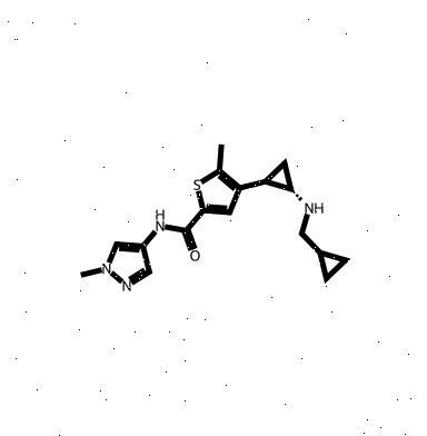 Cc1sc(C(=O)Nc2cnn(C)c2)cc1C1C[C@@H]1NCC1CC1